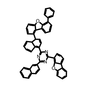 C1=CC2=C(c3nc(-c4ccc5ccccc5c4)nc(-c4cccc5c4oc4ccccc45)n3)C=CC(c3cccc4oc5c(-c6ccccc6)cccc5c34)C2C=C1